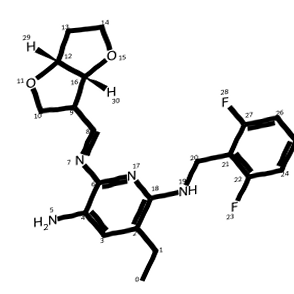 CCc1cc(N)c(/N=C/C2CO[C@@H]3CCO[C@H]23)nc1NCc1c(F)cccc1F